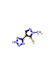 Cn1ncc(-c2nn[nH]n2)c1Br